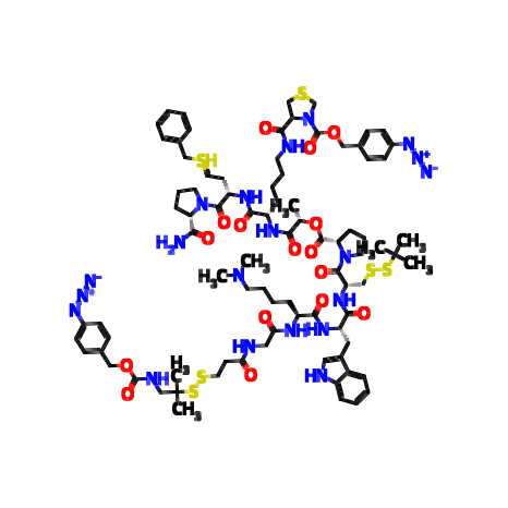 C[C@H](OC(=O)[C@@H]1CCCN1C(=O)[C@H](CSSC(C)(C)C)NC(=O)[C@H](Cc1c[nH]c2ccccc12)NC(=O)[C@H](CCCCN(C)C)NC(=O)CNC(=O)CCSSC(C)(C)CNC(=O)OCc1ccc(N=[N+]=[N-])cc1)C(=O)N[C@@H](CCCCNC(=O)C1CSCN1C(=O)OCc1ccc(N=[N+]=[N-])cc1)C(=O)N[C@@H](CC=[SH]Cc1ccccc1)C(=O)N1CCC[C@H]1C(N)=O